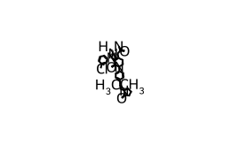 CC(C)(CN1CCCC1=O)c1ccc(N2CCc3c(C(N)=O)nn(-c4cccc(Cl)c4)c3C2=O)cc1